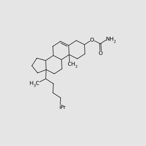 CC(C)CCCC(C)C12CCCC1C1CC=C3CC(OC(N)=O)CCC3(C)C1CC2